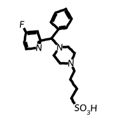 O=S(=O)(O)CCCCN1CCN(C(c2ccccc2)c2cc(F)ccn2)CC1